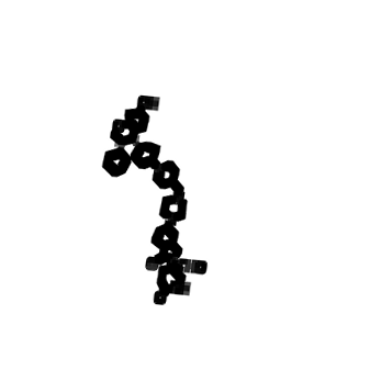 O=CC1(N2Cc3cc(N4CCN(CC5CCN(c6ccc([C@H]7c8ccc(O)cc8OC[C@H]7c7ccccc7)cc6)CC5)CC4)ccc3C2=O)CCC(=O)NC1